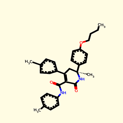 CCCCOc1ccc([C@]2(C)CC(c3ccc(C)cc3)=C(C(=O)Nc3ccc(C)cc3)C(=O)N2)cc1